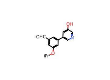 CC(C)Oc1cc(C=O)cc(-c2cncc(O)c2)c1